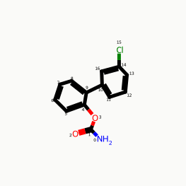 NC(=O)Oc1ccccc1-c1cccc(Cl)c1